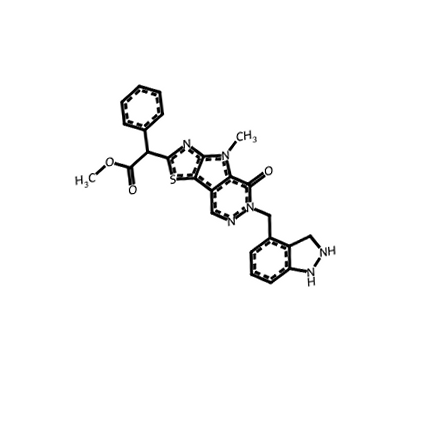 COC(=O)C(c1ccccc1)c1nc2c(s1)c1cnn(Cc3cccc4c3CNN4)c(=O)c1n2C